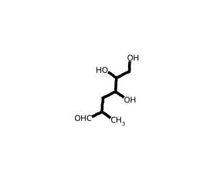 CC(C=O)CC(O)C(O)CO